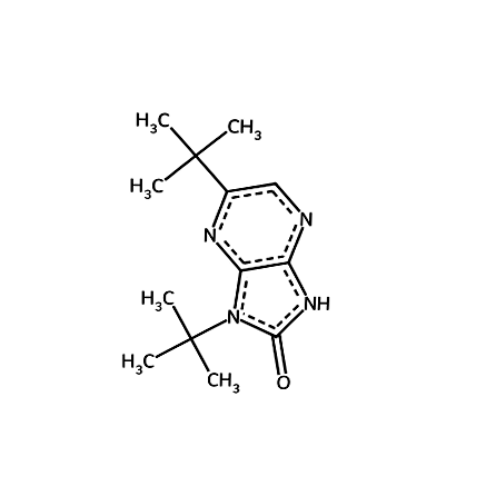 CC(C)(C)c1cnc2[nH]c(=O)n(C(C)(C)C)c2n1